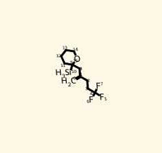 C=C(CCC(F)(F)F)CC1([SiH3])CCCCO1